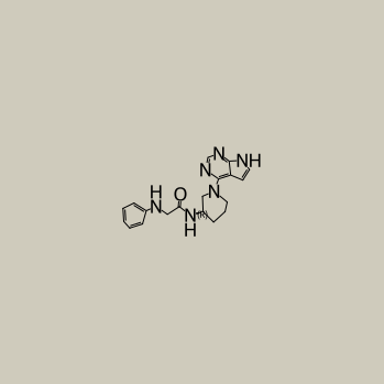 O=C(CNc1ccccc1)N[C@@H]1CCCN(c2ncnc3[nH]ccc23)C1